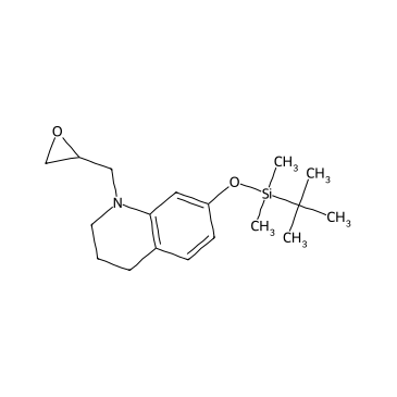 CC(C)(C)[Si](C)(C)Oc1ccc2c(c1)N(CC1CO1)CCC2